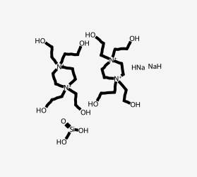 O=[Si](O)O.OCC[N+]1(CCO)CC[N+](CCO)(CCO)CC1.OCC[N+]1(CCO)CC[N+](CCO)(CCO)CC1.[NaH].[NaH]